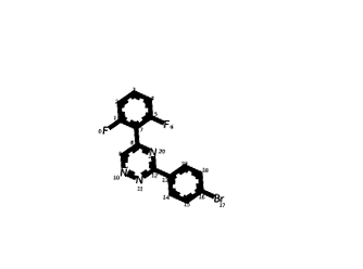 Fc1cccc(F)c1-c1cnnc(-c2ccc(Br)cc2)n1